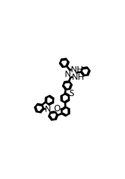 c1ccc(C2=NC(c3ccc4c(c3)sc3cc(-c5cccc6c5oc5c(-n7c8ccccc8c8ccccc87)cccc56)ccc34)NC(c3ccccc3)N2)cc1